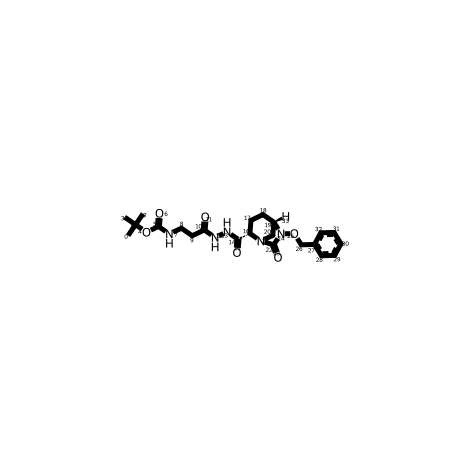 CC(C)(C)OC(=O)NCCC(=O)NNC(=O)[C@@H]1CC[C@H]2CN1C(=O)N2OCc1ccccc1